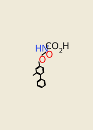 Cc1cc(COCC(=O)NC(=O)O)ccc1-c1ccccc1